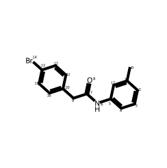 Cc1cccc(NC(=O)Cc2ccc(Br)cc2)c1